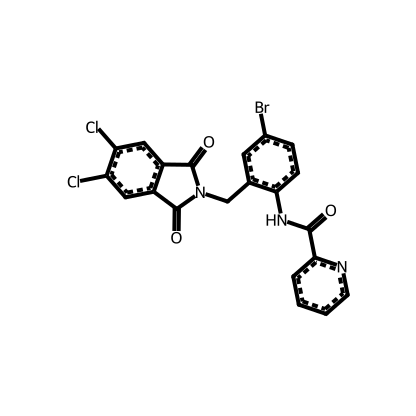 O=C(Nc1ccc(Br)cc1CN1C(=O)c2cc(Cl)c(Cl)cc2C1=O)c1ccccn1